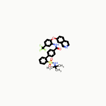 CC(C)(C)NS(=O)(=O)c1ccccc1-c1ccc(C(=O)Nc2cc(C(F)(F)F)ccc2Oc2ccc3ccncc3c2)cc1